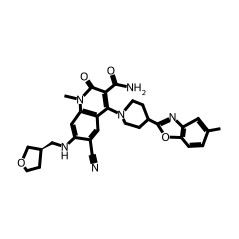 Cc1ccc2oc(C3CCN(c4c(C(N)=O)c(=O)n(C)c5cc(NC[C@H]6CCOC6)c(C#N)cc45)CC3)nc2c1